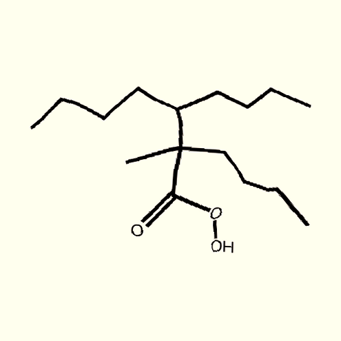 CCCCC(CCCC)C(C)(CCCC)C(=O)OO